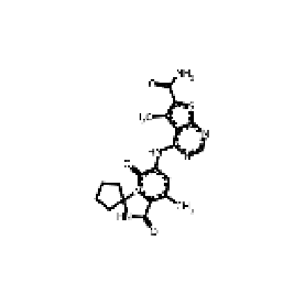 Cc1cc(Nc2ncnc3sc(C(N)=O)c(C)c23)c(=O)n2c1C(=O)NC21CCCC1